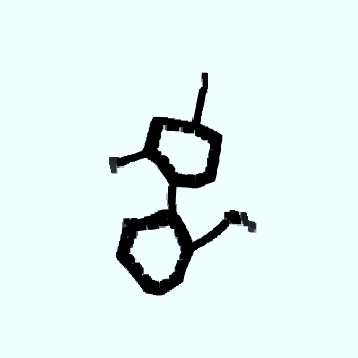 Nc1cccnc1-c1ccc(I)cc1F